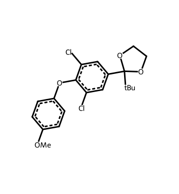 COc1ccc(Oc2c(Cl)cc(C3(C(C)(C)C)OCCO3)cc2Cl)cc1